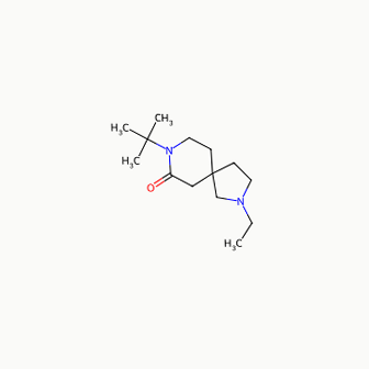 CCN1CCC2(CCN(C(C)(C)C)C(=O)C2)C1